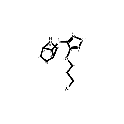 FC(F)(F)CCCOc1nsnc1OC1C2CCC1NC2